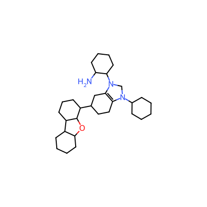 NC1CCCCC1N1CN(C2CCCCC2)C2=C1CC(C1CCCC3C4CCCCC4OC13)CC2